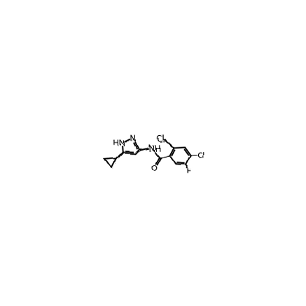 O=C(Nc1cc(C2CC2)[nH]n1)c1cc(F)c(Cl)cc1Cl